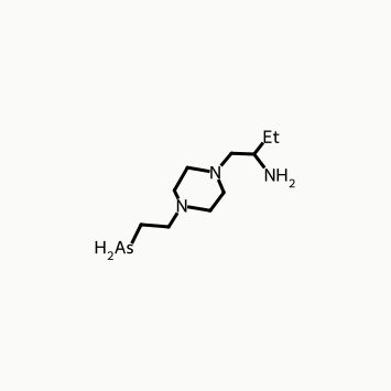 CCC(N)CN1CCN(CC[AsH2])CC1